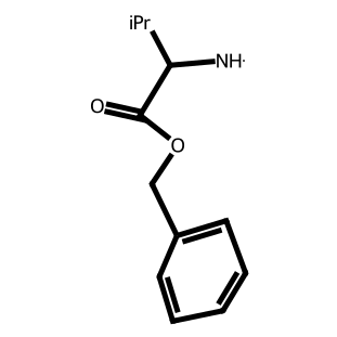 CC(C)C([NH])C(=O)OCc1ccccc1